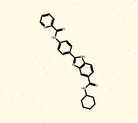 O=C(NC1CCCCC1)c1ccc2[nH]c(-c3ccc(NC(=O)c4ccccn4)cc3)nc2c1